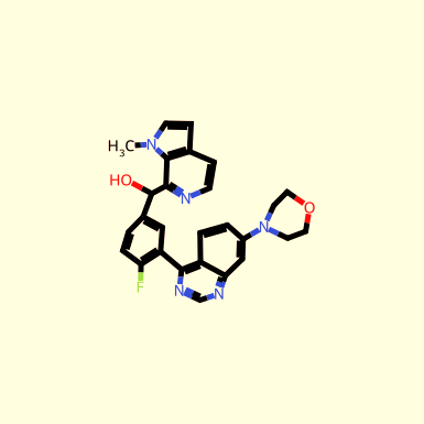 Cn1ccc2ccnc(C(O)c3ccc(F)c(-c4ncnc5cc(N6CCOCC6)ccc45)c3)c21